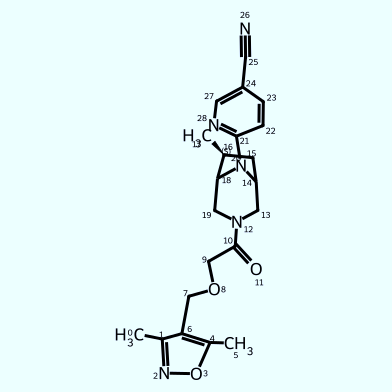 Cc1noc(C)c1COCC(=O)N1CC2C[C@H](C)C(C1)N2c1ccc(C#N)cn1